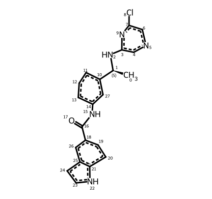 C[C@H](Nc1cncc(Cl)n1)c1cccc(NC(=O)c2ccc3[nH]ccc3c2)c1